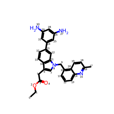 CCOC(=O)Cc1cn(Cc2cccc3nc(C)ccc23)c2cc(-c3cc(N)cc(N)c3)ccc12